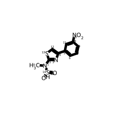 CN(c1nc(-c2cccc([N+](=O)[O-])c2)cs1)[SH](=O)=O